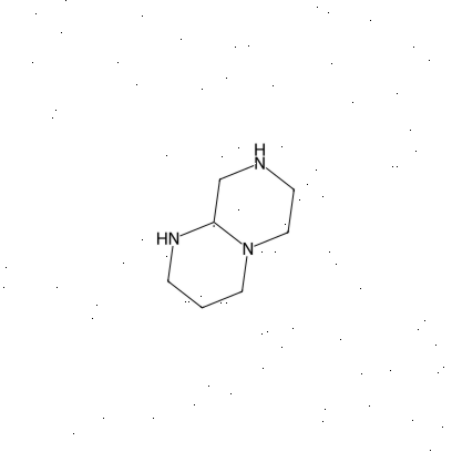 C1CN[C]2CNCCN2C1